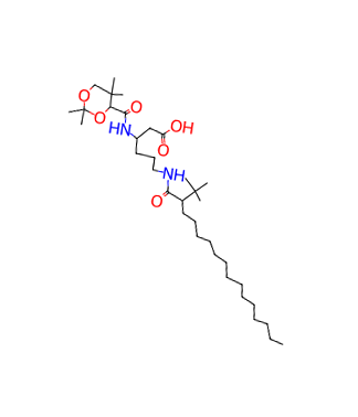 CCCCCCCCCCCCCCC(C(=O)NCCCC(CC(=O)O)NC(=O)C1OC(C)(C)OCC1(C)C)C(C)(C)C